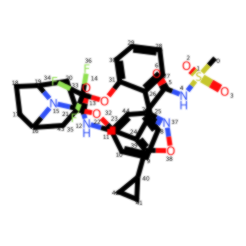 CS(=O)(=O)NC(=O)c1cccc(NC(=O)N2C3CCC2CC(OCc2c(-c4ccccc4OC(F)(F)F)noc2C2CC2)C3)c1